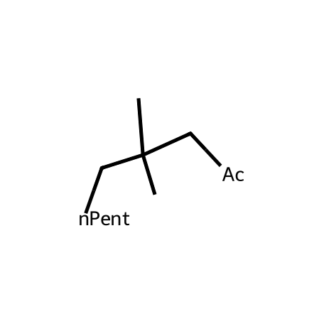 CCCCCCC(C)(C)CC(C)=O